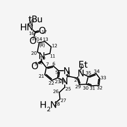 CCn1c(-c2nc3cc(C(=O)N4CCC[C@@H](OC(=O)NC(C)(C)C)C4)ccc3n2CCCN)cc2ccccc21